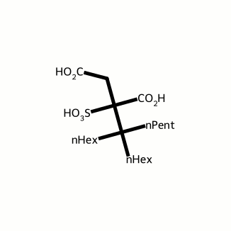 CCCCCCC(CCCCC)(CCCCCC)C(CC(=O)O)(C(=O)O)S(=O)(=O)O